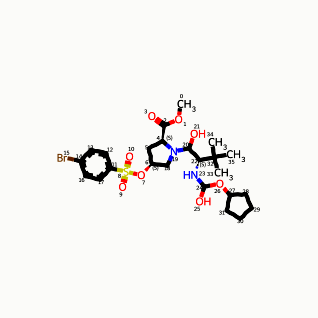 COC(=O)[C@@H]1C[C@H](OS(=O)(=O)c2ccc(Br)cc2)CN1C(O)[C@@H](NC(O)OC1CCCC1)C(C)(C)C